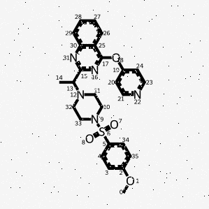 COc1ccc(S(=O)(=O)N2CCN(C(C)c3nc(Oc4ccncc4)c4ccccc4n3)CC2)cc1